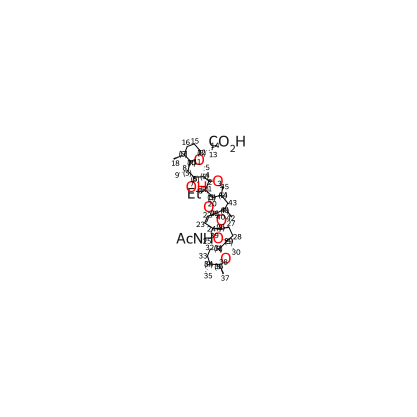 CC[C@@H](C(=O)[C@@H](C)[C@@H](O)[C@H](C)[C@@H]1O[C@@H](CC(=O)O)CC[C@@H]1C)[C@H]1O[C@]2(C=CC(NC(C)=O)[C@]3(CC[C@@](C)([C@H]4CC[C@@H](C)[C@H](C)O4)O3)O2)[C@H](C)C[C@@H]1C